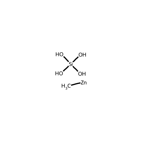 O[Si](O)(O)O.[CH3][Zn]